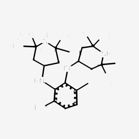 Cc1ccc(C)c(NC2CC(C)(C)NC(C)(C)C2)c1NC1CC(C)(C)NC(C)(C)C1